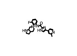 Cc1cc(-c2c[nH]c(C(=O)Nc3cccc(F)c3N3CCC4CCNC4C3)n2)ccn1